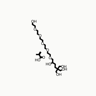 C=C(C)C(=O)O.OCCOCCOCCOCCOCCOCC(O)CCC(CO)(CO)CO